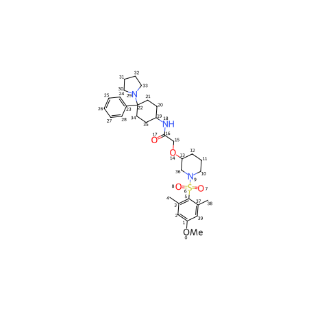 COc1cc(C)c(S(=O)(=O)N2CCCC(OCC(=O)NC3CCC(c4ccccc4)(N4CCCC4)CC3)C2)c(C)c1